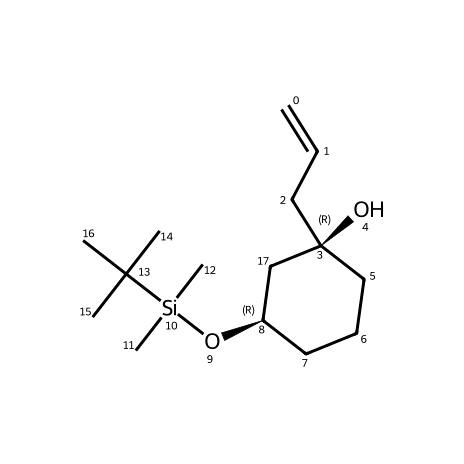 C=CC[C@]1(O)CCC[C@@H](O[Si](C)(C)C(C)(C)C)C1